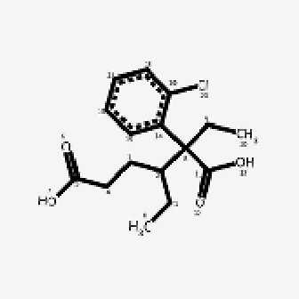 CCC(CCC(=O)O)C(CC)(C(=O)O)c1ccccc1Cl